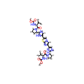 COC(=O)N[C@H](C(=O)N1CCCC1c1ncc(-c2cn3cc(-c4cnc([C@@H]5CCCN5C(=O)[C@@H](NC(=O)OC)C(C)C)[nH]4)nc3s2)[nH]1)C(C)C